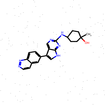 CC1(O)CCC(Nc2ncc3c(-c4ccc5nnccc5c4)c[nH]c3n2)CC1